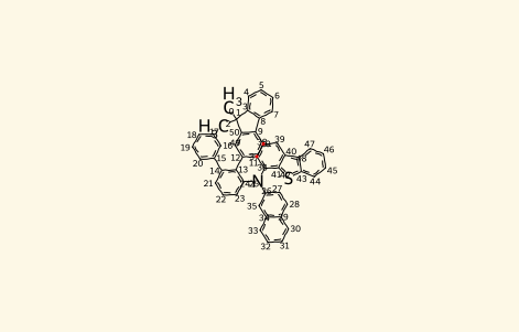 CC1(C)c2ccccc2-c2ccc(-c3c(-c4ccccc4)cccc3N(c3ccc4ccccc4c3)c3cccc4c3sc3ccccc34)cc21